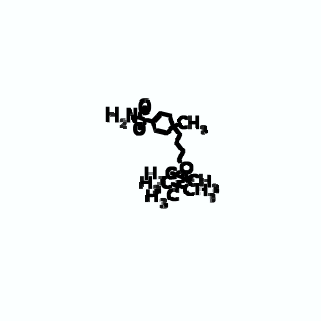 CC1(CCCCO[Si](C)(C)C(C)(C)C)C=CC(S(N)(=O)=O)=CC1